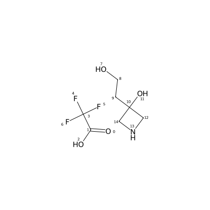 O=C(O)C(F)(F)F.OCCC1(O)CNC1